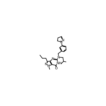 CCCc1nn(C)c2c(=O)[nH]c(N(Cc3cccc(N4CCC=N4)c3)CC(C)C)nc12